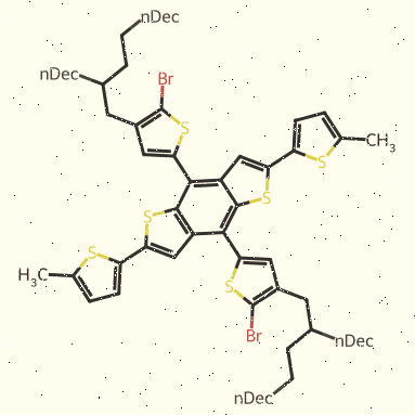 CCCCCCCCCCCCC(CCCCCCCCCC)Cc1cc(-c2c3cc(-c4ccc(C)s4)sc3c(-c3cc(CC(CCCCCCCCCC)CCCCCCCCCCCC)c(Br)s3)c3cc(-c4ccc(C)s4)sc23)sc1Br